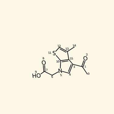 CC(=O)c1cn(CC(=O)O)c2scc(C)c12